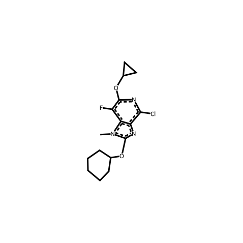 Cn1c(OC2CCCCC2)nc2c(Cl)nc(OC3CC3)c(F)c21